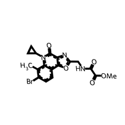 COC(=O)C(=O)NCc1nc2c(=O)n(C3CC3)c3c(C)c(Br)ccc3c2o1